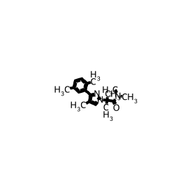 Cc1ccc(C)c(-c2nn(C(C)(C)C(=O)N(C)C)cc2C)c1